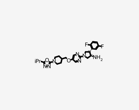 CC(C)c1nnc(N2CCC(COc3cnc(N4C[C@H](c5cc(F)ccc5F)[C@@H](N)C4)nc3)CC2)o1